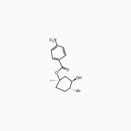 CC(C)[C@@H]1CC[C@@](C)(OC(=O)c2ccc([N+](=O)[O-])cc2)C[C@H]1O